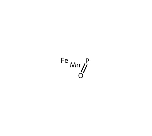 O=[P].[Fe].[Mn]